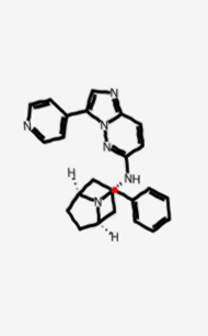 c1ccc(CN2[C@@H]3CC[C@H]2C[C@H](Nc2ccc4ncc(-c5ccncc5)n4n2)C3)cc1